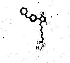 COC(=O)CCCCCCC1C(Cl)CC(O)C1c1ccc(CC2CCCCC2)cc1